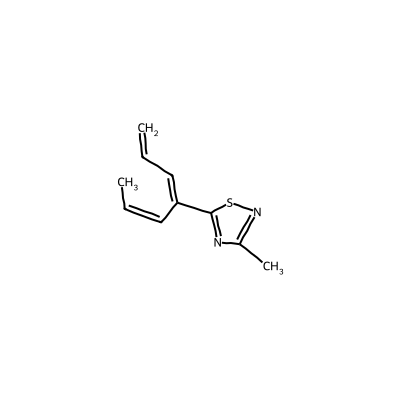 C=C/C=C(\C=C/C)c1nc(C)ns1